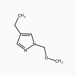 CCc1cnn(COC)c1